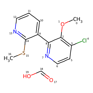 COc1c(Cl)ccnc1-c1cccnc1SC.O=CO